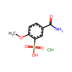 COc1ccc(C(N)=O)cc1S(=O)(=O)O.Cl